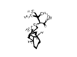 CN1C[C@H]2CCC[C@@H](C1)C2CCOC(C(=O)O)C(C)(C)C